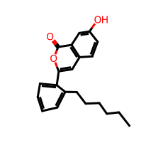 CCCCCCc1ccccc1-c1cc2ccc(O)cc2c(=O)o1